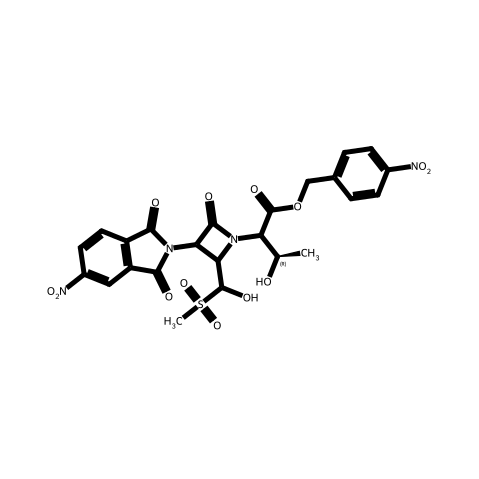 C[C@@H](O)C(C(=O)OCc1ccc([N+](=O)[O-])cc1)N1C(=O)C(N2C(=O)c3ccc([N+](=O)[O-])cc3C2=O)C1C(O)S(C)(=O)=O